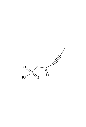 CC#CC(=O)CS(=O)(=O)O